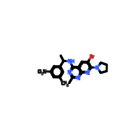 Cc1nc(NC(C)c2cc([N+](=O)[O-])cc(C(F)(F)F)c2)c2cc(Br)c(N3CCCC3)nc2n1